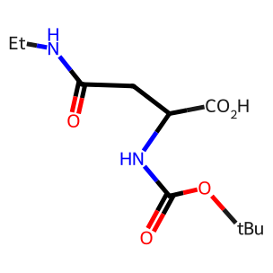 CCNC(=O)CC(NC(=O)OC(C)(C)C)C(=O)O